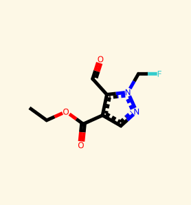 CCOC(=O)c1cnn(CF)c1C=O